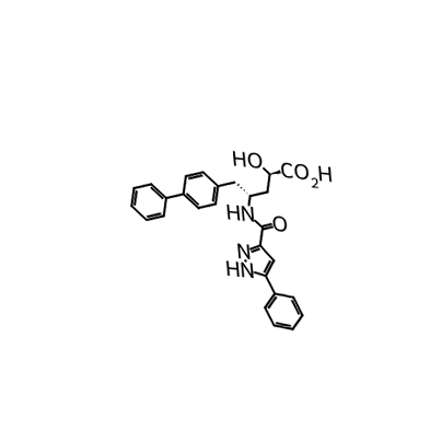 O=C(N[C@H](Cc1ccc(-c2ccccc2)cc1)C[C@@H](O)C(=O)O)c1cc(-c2ccccc2)[nH]n1